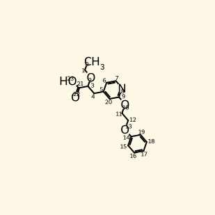 CCOC(Cc1ccnc(OCCOc2ccccc2)c1)C(=O)O